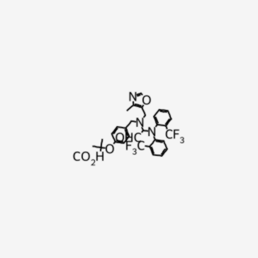 Cc1ncoc1CN(Cc1ccc(OC(C)(C)C(=O)O)cc1)C(C=O)N(c1ccccc1C(F)(F)F)c1ccccc1C(F)(F)F